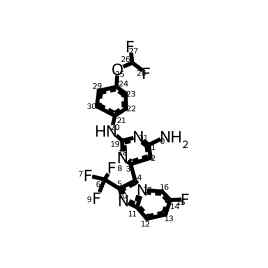 Nc1cc(-c2c(C(F)(F)F)nc3ccc(F)cn23)nc(Nc2ccc(OC(F)F)cc2)n1